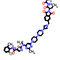 CCC(C(=O)NC(C)=O)N1C(=O)c2ccc(CN3CC(N4CCN(C5CCN(c6cc(N(C)c7ncc(C(=O)Nc8c(C)cccc8Cl)s7)nc(C)n6)CC5)CC4)C3)cc2C1=O